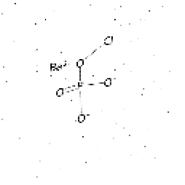 O=P([O-])([O-])OCl.[Ba+2]